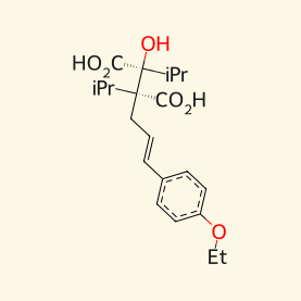 CCOc1ccc(C=CC[C@@](C(=O)O)(C(C)C)[C@](O)(C(=O)O)C(C)C)cc1